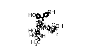 CCC(=O)N[C@H]1C[C@@H](n2cnc3c(NCC(c4ccc(O)cc4)c4ccc(O)cc4)nc(N4CC[C@@H](N)C4)nc32)[C@H](O)[C@@H]1O.O=C(O)C(F)(F)F